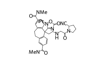 CNC(=O)c1ccc2c(c1)CCc1cc(C(=O)NC)ccc1C2(C[C@@H](C)NCC(=O)N1CCCC1C#N)c1nc(=O)on1C(C)C